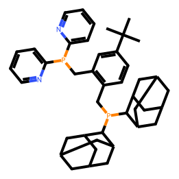 CC(C)(C)c1ccc(CP(C2C3CC4CC(C3)CC2C4)C2C3CC4CC(C3)CC2C4)c(CP(c2ccccn2)c2ccccn2)c1